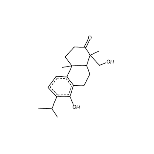 CC(C)c1ccc2c(c1O)CCC1C(C)(CO)C(=O)CCC21C